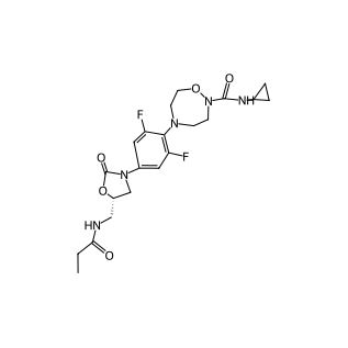 CCC(=O)NC[C@H]1CN(c2cc(F)c(N3CCON(C(=O)NC4CC4)CC3)c(F)c2)C(=O)O1